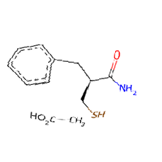 CC(=O)O.NC(=O)[C@@H](CS)Cc1ccccc1